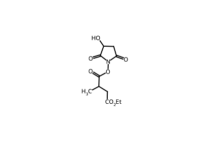 CCOC(=O)CC(C)C(=O)ON1C(=O)CC(O)C1=O